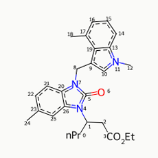 CCCC(CC(=O)OCC)n1c(=O)n(Cc2cn(C)c3cccc(C)c23)c2ccc(C)cc21